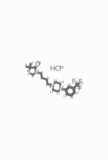 CC1(C)SCN(CCCCN2CCN(c3cccc(C(F)(F)F)c3)CC2)C1=O.Cl